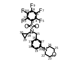 O=S(=O)(c1c(F)c(F)c(F)c(F)c1F)N(Cc1cccc(N2CCOCC2)c1)C1CC1